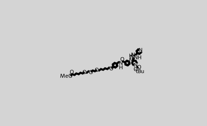 COC(=O)CCCCCOCCOCCOCCCCCCOc1ccc(CNC(=O)c2cccc(NC3(c4nnc(-c5ccncc5)[nH]4)CCN(C(=O)OC(C)(C)C)CC3)c2)cc1